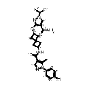 Cc1c(C(=O)N[C@H]2CC3(C2)C[C@H](Oc2nn(C(F)F)cc2C(N)=O)C3)cnn1-c1ccc(Cl)cc1